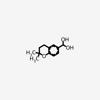 CC1(C)CCc2cc(C(O)O)ccc2O1